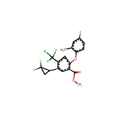 COC(=O)c1cc(C2CC2(F)F)c(C(F)(F)F)cc1Oc1ccc(F)cc1C